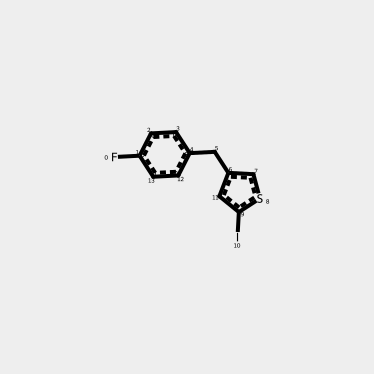 Fc1ccc(Cc2csc(I)c2)cc1